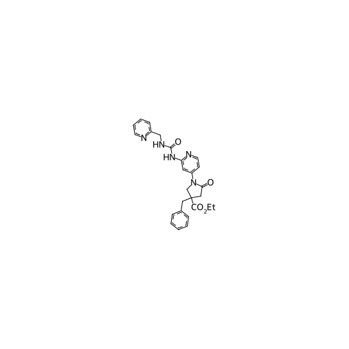 CCOC(=O)C1(Cc2ccccc2)CC(=O)N(c2ccnc(NC(=O)NCc3ccccn3)c2)C1